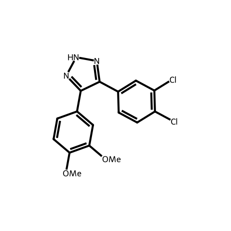 COc1ccc(-c2n[nH]nc2-c2ccc(Cl)c(Cl)c2)cc1OC